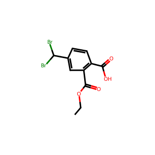 CCOC(=O)c1cc(C(Br)Br)ccc1C(=O)O